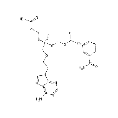 CC(C)(C)C(=O)OCOP(=O)(COCCn1cnc2c(N)ncnc21)OCOC(=O)C(C)(C)C.NC(=O)c1cccnc1